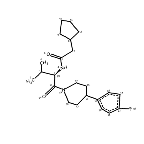 CC(C)[C@@H](NC(=O)CC1CCCC1)C(=O)N1CCC(c2ccc(F)cc2)CC1